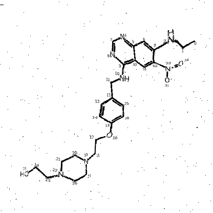 CCNc1cc2ncnc(NCc3ccc(OCCN4CCN(CCO)CC4)cc3)c2cc1[N+](=O)[O-]